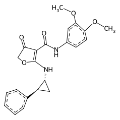 COc1ccc(NC(=O)C2=C(N[C@@H]3C[C@H]3c3ccccc3)OCC2=O)cc1OC